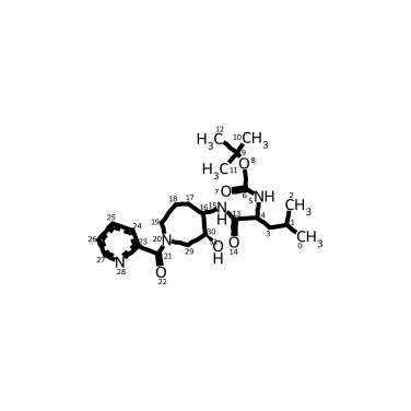 CC(C)CC(NC(=O)OC(C)(C)C)C(=O)NC1CCCN(C(=O)c2ccccn2)C[C@@H]1O